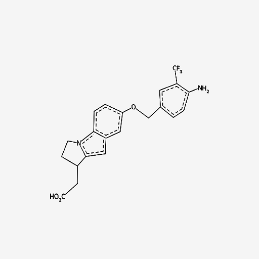 Nc1ccc(COc2ccc3c(c2)cc2n3CCC2CC(=O)O)cc1C(F)(F)F